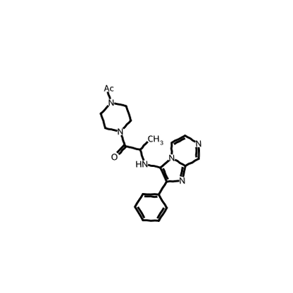 CC(=O)N1CCN(C(=O)C(C)Nc2c(-c3ccccc3)nc3cnccn23)CC1